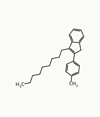 CCCCCCCCCC1=C(c2ccc(C)cc2)[CH]c2ccccc21